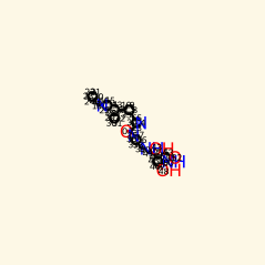 O=C(c1cncc(-c2cccc(C(CC3CCN(Cc4ccccc4)CC3)c3ccccc3)c2)c1)N1CCC(CNCC(O)c2ccc(O)c3[nH]c(=O)ccc23)CC1